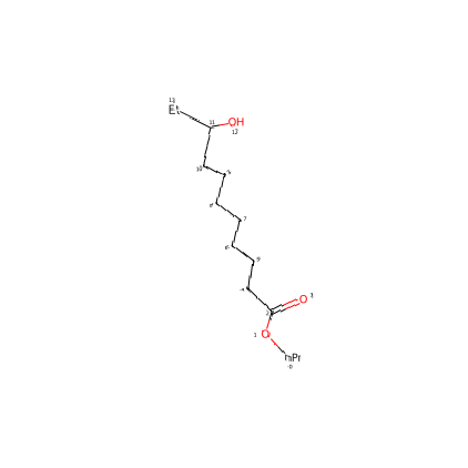 CCCOC(=O)CCCCCCCC(O)CC